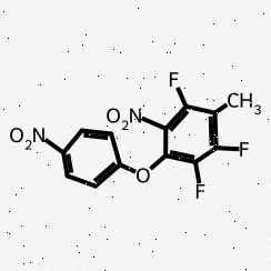 Cc1c(F)c(F)c(Oc2ccc([N+](=O)[O-])cc2)c([N+](=O)[O-])c1F